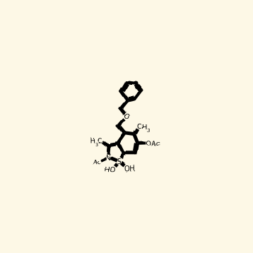 CC(=O)OC1=CC2C(C(COCc3ccccc3)C1C)C(C)N(C(C)=O)S2(O)O